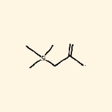 [CH2]C(=C)C[Si](C)(C)C